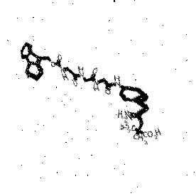 CC(C)(CC(N)Cc1ccc(NC(=O)CNC(=O)CNC(=O)CNC(=O)OCC2c3ccccc3-c3ccccc32)cc1)C(=O)O